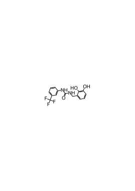 O=C(NCc1cccc(O)c1O)Nc1cccc(C(F)(F)F)c1